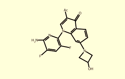 CC(=O)c1cn(-c2nc(N)c(F)cc2F)c2cc(N3CC(O)C3)ccc2c1=O